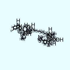 Cc1ccc2[nH]nc(C(=O)N3CC[C@H]4CC[C@@H](C(=O)NCCCCCCCCC(=O)N[C@H](C(=O)N5C[C@H](O)C[C@H]5C(=O)N[C@@H](C)c5ccc(-c6scnc6C)cc5)C(C)(C)C)N4C(=O)[C@@H](NC(=O)OC(C)(C)C)C3)c2c1